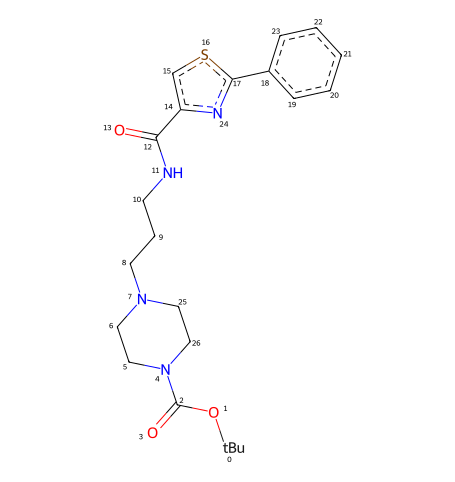 CC(C)(C)OC(=O)N1CCN(CCCNC(=O)c2csc(-c3ccccc3)n2)CC1